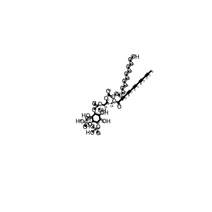 CC#CC#CC#CC#CC#CC(=O)OC[C@H](COP(=O)(O)OC1C(O)[C@H](O)[C@H](OP(=O)(O)O)C(OP(=O)(O)O)[C@@H]1O)OC(=O)OOOOOOOOOOOOOO